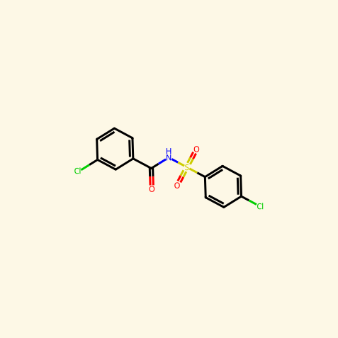 O=C(NS(=O)(=O)c1ccc(Cl)cc1)c1cccc(Cl)c1